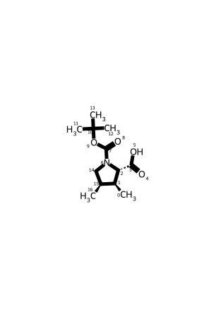 C[C@@H]1[C@@H](C(=O)O)N(C(=O)OC(C)(C)C)C[C@@H]1C